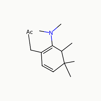 CC(=O)CC1=C(N(C)C)C(C)C(C)(C)C=C1